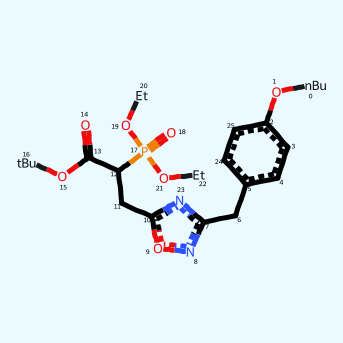 CCCCOc1ccc(Cc2noc(CC(C(=O)OC(C)(C)C)P(=O)(OCC)OCC)n2)cc1